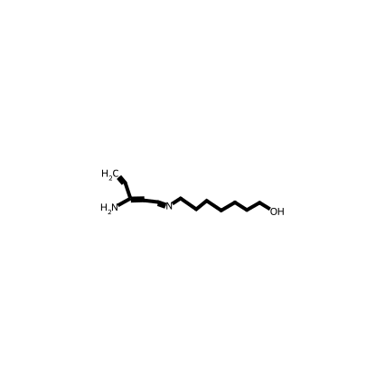 C=C/C(N)=C\C=N\CCCCCCCO